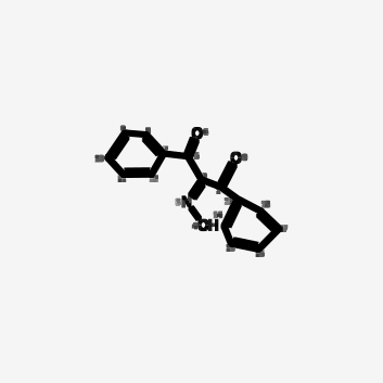 O=C(C(=NO)C(=O)c1ccccc1)c1ccccc1